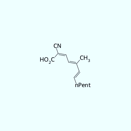 CCCCCC=CC(C)=CC=C(C#N)C(=O)O